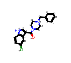 O=C(c1c[nH]c2ccc(Cl)cc12)N1CCN(Cc2ccccc2)CC1